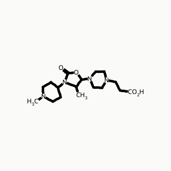 CC1C(N2CCN(CCC(=O)O)CC2)OC(=O)N1C1CCN(C)CC1